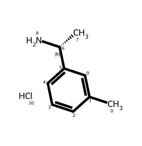 Cc1cccc([C@@H](C)N)c1.Cl